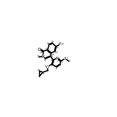 CSc1ccc(OCC2CC2)c(-c2cn(C)c(=O)c3ccc(F)cc23)n1